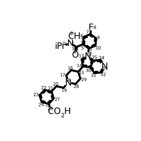 CC(C)N(C)C(=O)c1cc(F)ccc1-n1cc(C2CCN(CCc3cccc(C(=O)O)c3)CC2)c2ccncc21